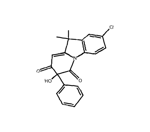 CC1(C)C2=CC(=O)C(O)(c3ccccc3)C(=O)N2c2ccc(Cl)cc21